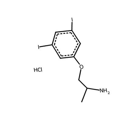 CC(N)COc1cc(I)cc(I)c1.Cl